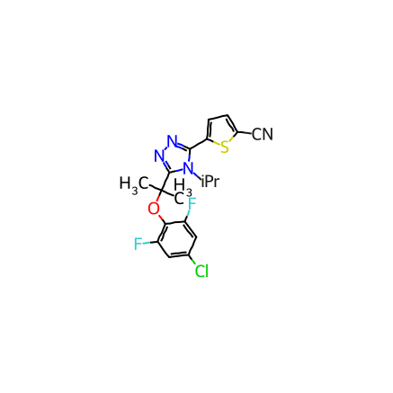 CC(C)n1c(-c2ccc(C#N)s2)nnc1C(C)(C)Oc1c(F)cc(Cl)cc1F